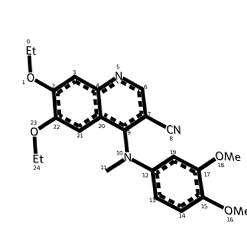 CCOc1cc2ncc(C#N)c(N(C)c3ccc(OC)c(OC)c3)c2cc1OCC